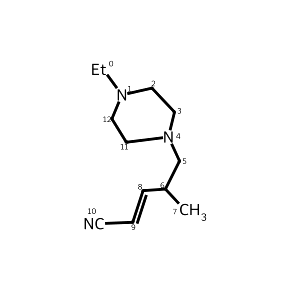 CCN1CCN(CC(C)C=CC#N)CC1